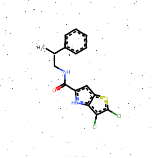 CC(CNC(=O)c1cc2sc(Cl)c(Cl)c2[nH]1)c1ccccc1